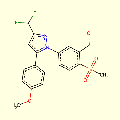 COc1ccc(-c2cc(C(F)F)nn2-c2ccc(S(C)(=O)=O)c(CO)c2)cc1